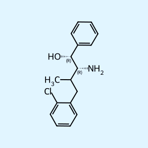 CC(Cc1ccccc1Cl)[C@@H](N)[C@H](O)c1ccccc1